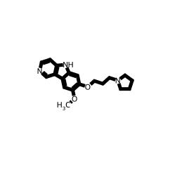 COc1cc2c(cc1OCCCN1CCCC1)[nH]c1ccncc12